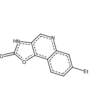 CCc1ccc2c(c1)ncc1[nH]c(=O)oc12